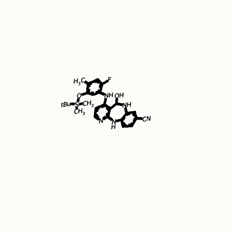 Cc1cc(F)c(Nc2ccnc3c2C(O)Nc2cc(C#N)ccc2N3)cc1O[Si](C)(C)C(C)(C)C